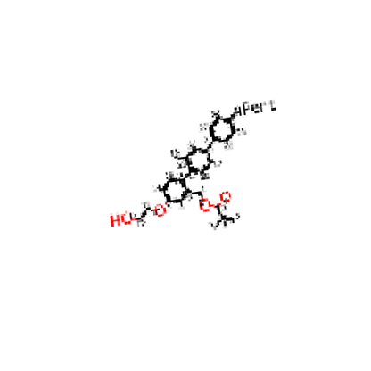 C=C(C)C(=O)OCc1cc(OCCO)ccc1-c1ccc(-c2ccc(CCCCC)cc2)cc1C